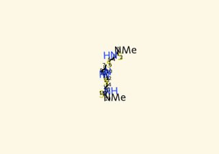 CNC(=S)NCCSCc1cnn(CSCCNC(=S)NC)n1